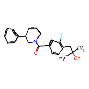 CC(C)(O)Cc1ccc(C(=O)N2CCCC(c3ccccc3)C2)cc1F